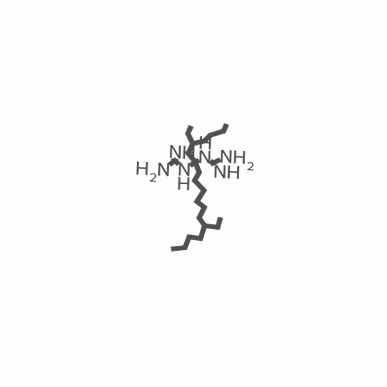 CCCCC(CC)CCCCCCC(CC(CC)CCCC)(NC(=N)N)NC(=N)N